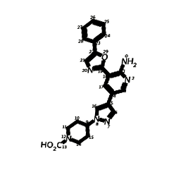 Nc1ncc(-c2cnn(C3CCN(C(=O)O)CC3)c2)cc1-c1ncc(-c2ccccc2)o1